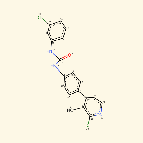 N#Cc1c(-c2ccc(NC(=O)Nc3cccc(Cl)c3)cc2)ccnc1Cl